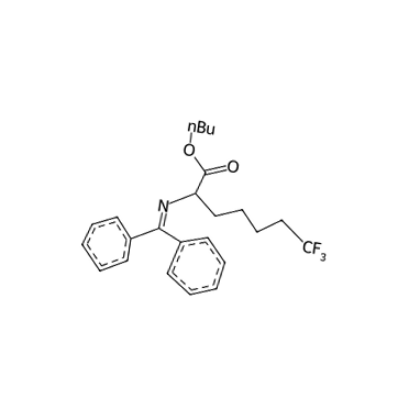 CCCCOC(=O)C(CCCCC(F)(F)F)N=C(c1ccccc1)c1ccccc1